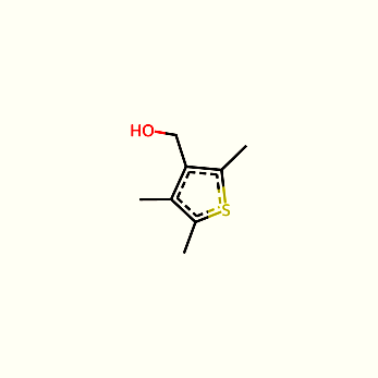 Cc1sc(C)c(CO)c1C